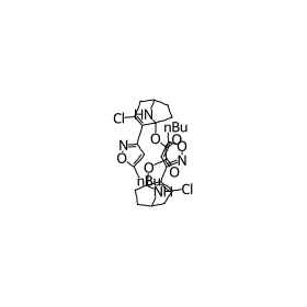 CCCCc1cc(C2=C(Cl)CC3CCC2(OC(=O)C(=O)OC24CCC(CC(Cl)=C2c2cc(CCCC)on2)N4)N3)no1